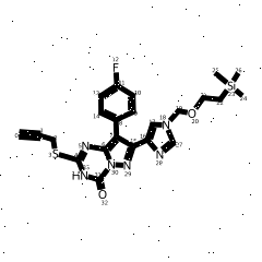 C#CCSc1nc2c(-c3ccc(F)cc3)c(-c3cn(COCC[Si](C)(C)C)cn3)nn2c(=O)[nH]1